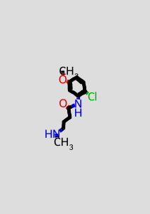 CNCCCC(=O)Nc1cc(OC)ccc1Cl